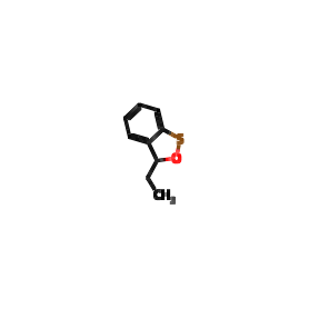 CCC1OSc2ccccc21